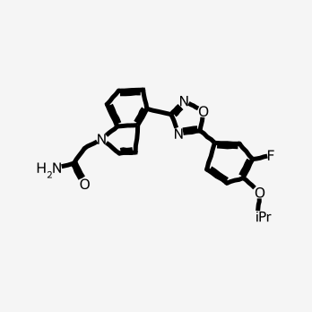 CC(C)Oc1ccc(-c2nc(-c3cccc4c3ccn4CC(N)=O)no2)cc1F